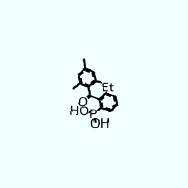 CCc1cccc(P(O)O)c1C(=O)c1c(C)cc(C)cc1C